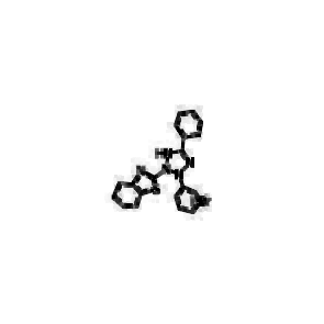 Br.c1ccc(C2=NN(c3ccccc3)N(c3nc4ccccc4s3)N2)cc1